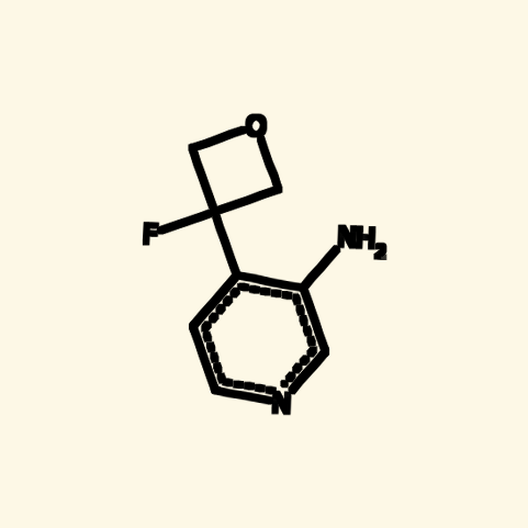 Nc1cnccc1C1(F)COC1